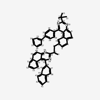 CC(Cc1ccc2ccc3nc(C(C)(C)C)nc(-c4ccc(-c5ccccc5)cc4)c3c2c1)c1nc(-c2ccc3ccccc3c2)c2c(ccc3ccccc32)n1